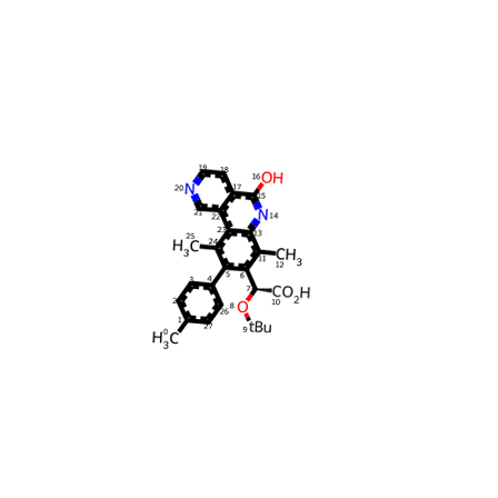 Cc1ccc(-c2c([C@H](OC(C)(C)C)C(=O)O)c(C)c3nc(O)c4ccncc4c3c2C)cc1